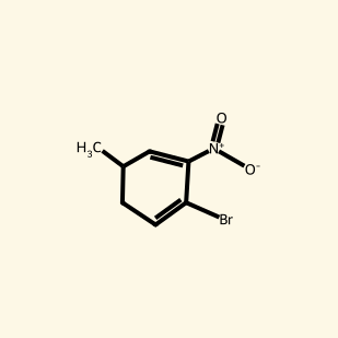 CC1C=C([N+](=O)[O-])C(Br)=CC1